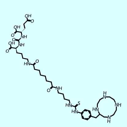 O=C(O)CC[C@H](NC(=O)N[C@@H](CCCCNC(=O)CCCCCCC(=O)NCCCCNC(=S)Nc1ccc(CC2CNCCNCCNCCN2)cc1)C(=O)O)C(=O)O